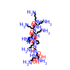 NCCCCNC(=O)[C@H](CCCCN)NC(=O)/C(CCCN)=N/C(=O)[C@H](CCCCN)NC(=O)[C@H](Cc1cnc[nH]1)NC(=O)[C@@H]1CCCN1C(=O)/C(CCCN)=N/C(=O)CNC(=O)[C@@H](NC(=O)C[C@@H](O)CN)[C@@H](O)CN